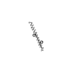 CCCCCCCCCCC(=O)CCCCCCC(=O)CCCCC